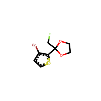 FCC1(c2sccc2Br)OCCO1